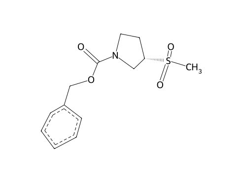 CS(=O)(=O)[C@H]1CCN(C(=O)OCc2ccccc2)C1